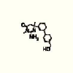 CN1C(=O)CC(C)(C2=CC(C3C=CC(CO)=CC3)CC=C2)N=C1N